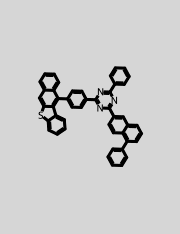 c1ccc(-c2nc(-c3ccc(-c4c5ccccc5cc5sc6ccccc6c45)cc3)nc(-c3ccc4c(-c5ccccc5)cccc4c3)n2)cc1